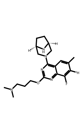 [2H]c1c(C)cc2c(N3C[C@H]4CC[C@@H](C3)N4)nc(OCCCN(C)C)nc2c1F